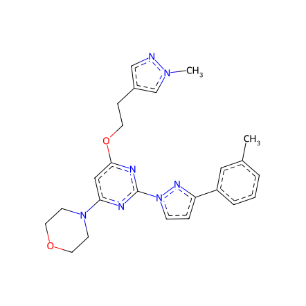 Cc1cccc(-c2ccn(-c3nc(OCCc4cnn(C)c4)cc(N4CCOCC4)n3)n2)c1